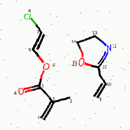 C=C(C)C(=O)OC=CCl.C=CC1=NCCO1